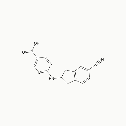 N#Cc1ccc2c(c1)CC(Nc1ncc(C(=O)O)cn1)C2